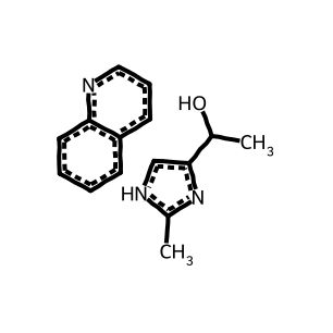 Cc1nc(C(C)O)c[nH]1.c1ccc2ncccc2c1